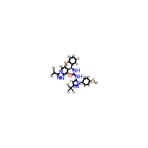 CSc1ccc(-n2nc(C(C)(C)C)cc2NC(=O)NCc2ccccc2Sc2ccc3nnc(C(C)C)n3c2)cc1